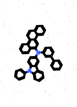 c1ccc(-c2cccc(N(c3ccc4c(c3)c3ccccc3n4-c3ccccc3)c3cc4c5ccccc5ccc4c4ccccc34)c2)cc1